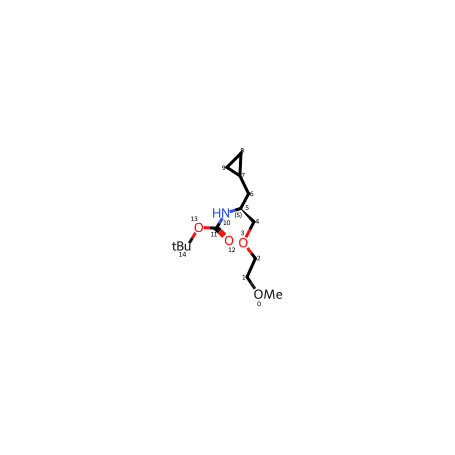 COCCOC[C@H](CC1CC1)NC(=O)OC(C)(C)C